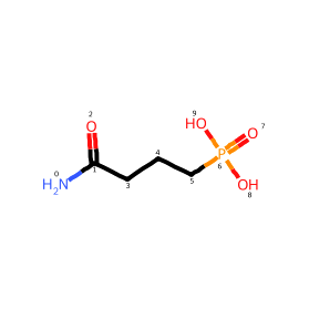 NC(=O)CCCP(=O)(O)O